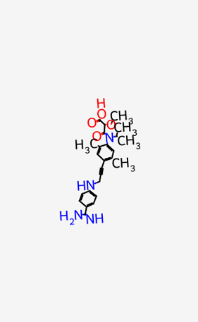 COC(C(=O)O)C(=O)N(c1cc(C)c(C#CCNc2ccc(C(=N)N)cc2)cc1C)C(C)C